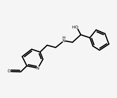 O=Cc1ccc(CCNCC(O)c2ccccc2)cn1